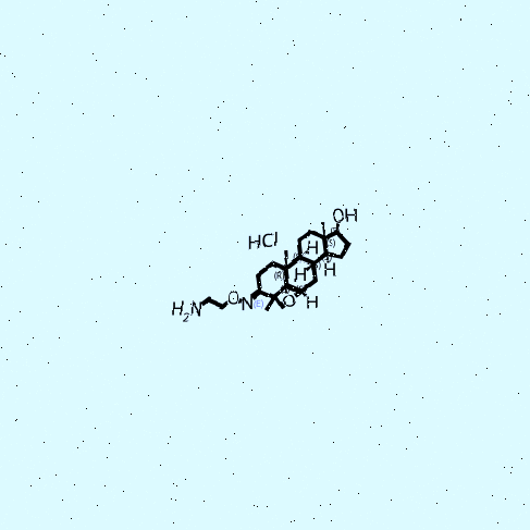 CC1(C)/C(=N/OCCN)CC[C@]2(C)[C@H]3CC[C@]4(C)[C@@H](O)CC[C@H]4[C@@H]3C[C@@H]3O[C@]312.Cl